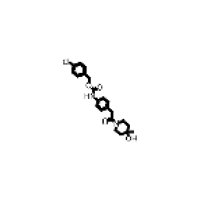 CC1(O)CCN(C(=O)Cc2ccc(NC(=O)OCc3ccc(Cl)cc3)cc2)CC1